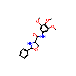 COc1cc(NC(=O)C2COC(c3ccccc3)N2)cc(OC)c1OC